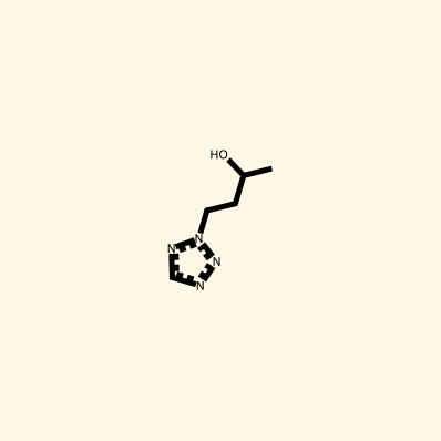 CC(O)CCn1ncnn1